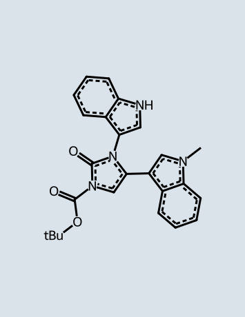 Cn1cc(-c2cn(C(=O)OC(C)(C)C)c(=O)n2-c2c[nH]c3ccccc23)c2ccccc21